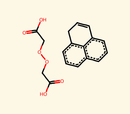 C1=Cc2cccc3cccc(c23)C1.O=C(O)COOCC(=O)O